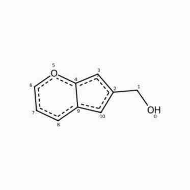 OCc1[c]c2occcc-2c1